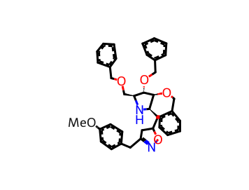 COc1ccc(CC2=NOC(C[C@H]3N[C@@H](COCc4ccccc4)[C@H](OCc4ccccc4)[C@H]3OCc3ccccc3)C2)cc1